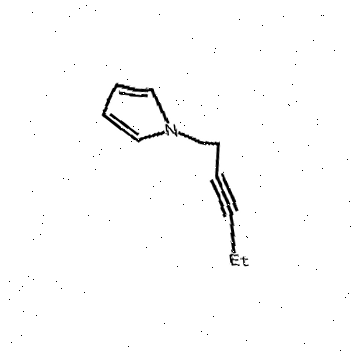 CCC#CCn1cccc1